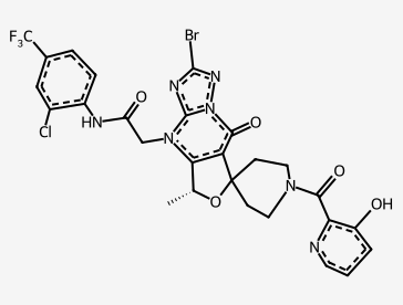 C[C@H]1OC2(CCN(C(=O)c3ncccc3O)CC2)c2c1n(CC(=O)Nc1ccc(C(F)(F)F)cc1Cl)c1nc(Br)nn1c2=O